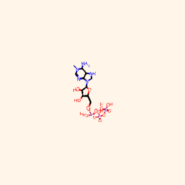 CN1C=NC2C(NCN2C2OC(COP(=O)(O)OP(=O)(O)OP(=O)(O)O)C(O)C2O)C1N